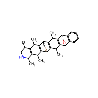 CCC1CNC(C)C2=C1C(C)C1=C(C2C)C2SCC1C1=C2C(C)C2=C(C1C)C1COC2c2ccccc21